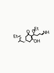 CCOC(CCC=N)C1=C(O)C[C@H](CC(C)SCC)CC1=O